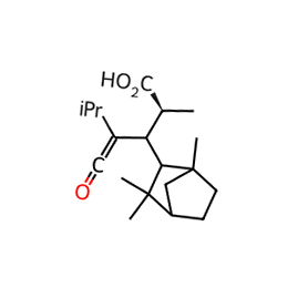 CC(C)C(=C=O)C(C1C2(C)CCC(C2)C1(C)C)[C@H](C)C(=O)O